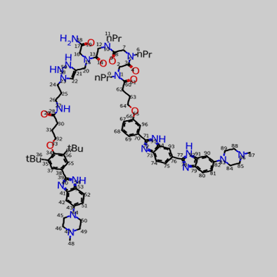 CCCN(CC(=O)N(CCC)CC(=O)N(CCC)CC(=O)N(CC(N)=O)CC1=CN(CCCNC(=O)CCCOc2c(C(C)(C)C)cc(-c3nc4cc(N5CCN(C)CC5)ccc4[nH]3)cc2C(C)(C)C)NN1)C(=O)CCCOc1cccc(-c2nc3ccc(-c4nc5ccc(N6CCN(C)CC6)cc5[nH]4)cc3[nH]2)c1